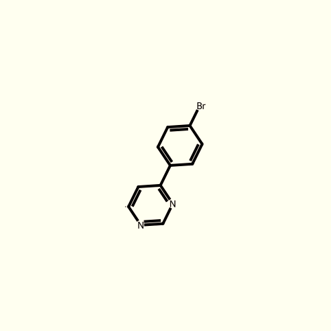 Brc1ccc(-c2c[c]ncn2)cc1